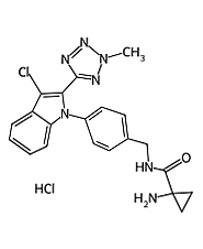 Cl.Cn1nnc(-c2c(Cl)c3ccccc3n2-c2ccc(CNC(=O)C3(N)CC3)cc2)n1